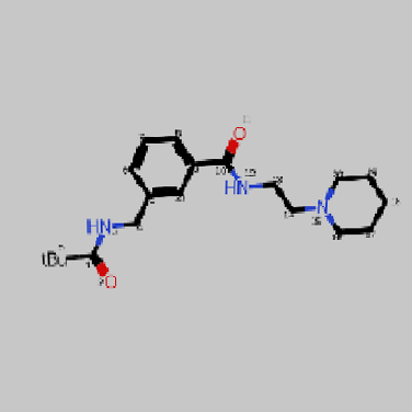 CC(C)(C)C(=O)NCc1cccc(C(=O)NCCN2CCCCC2)c1